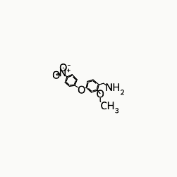 CCOc1cc(Oc2ccc([N+](=O)[O-])cc2)ccc1CN